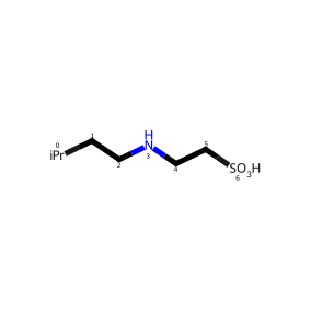 CC(C)CCNCCS(=O)(=O)O